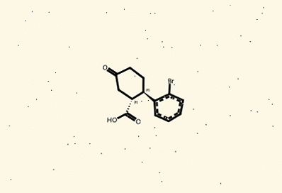 O=C1CC[C@@H](c2ccccc2Br)[C@H](C(=O)O)C1